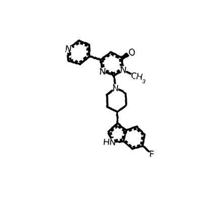 Cn1c(N2CCC(c3c[nH]c4cc(F)ccc34)CC2)nc(-c2ccncc2)cc1=O